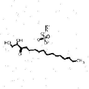 CCCCCCCCCCCCCC(=O)C(O)CO.O=S(=O)([O-])[O-].[K+].[K+]